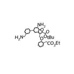 CCOC(=O)Cc1ccccc1OCc1c(C(=O)OC(C)(C)C)oc2c(N)cc(-c3cccc(CN)c3)cc12